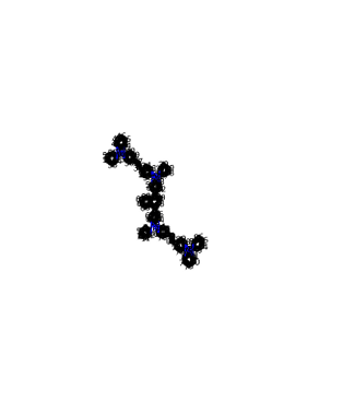 C(=Cc1ccc(N(c2ccccc2)c2ccc(-c3ccc(-c4ccc(N(c5ccccc5)c5ccc(C=Cc6ccc(N(c7ccccc7)c7ccccc7)cc6)cc5)cc4)c4ccccc34)cc2)cc1)c1ccc(N(c2ccccc2)c2ccccc2)cc1